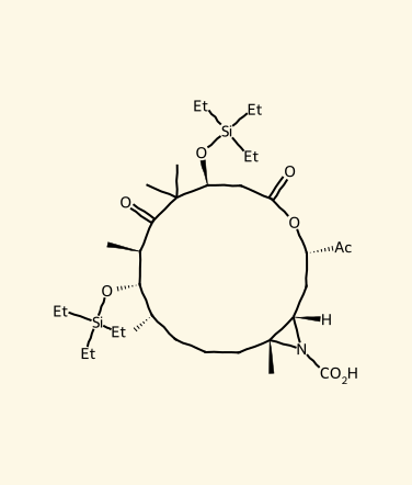 CC[Si](CC)(CC)O[C@H]1[C@@H](C)CCC[C@]2(C)[C@H](C[C@@H](C(C)=O)OC(=O)C[C@H](O[Si](CC)(CC)CC)C(C)(C)C(=O)[C@@H]1C)N2C(=O)O